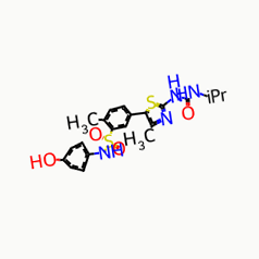 Cc1ccc(-c2sc(NC(=O)NC(C)C)nc2C)cc1S(=O)(=O)Nc1ccc(O)cc1